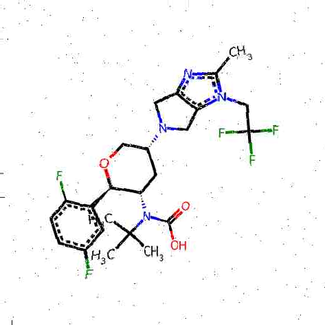 Cc1nc2c(n1CC(F)(F)F)CN([C@H]1CO[C@H](c3cc(F)ccc3F)[C@@H](N(C(=O)O)C(C)(C)C)C1)C2